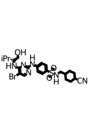 CC(C)[C@H](CO)Nc1nc(Nc2ccc(S(=O)(=O)NCC3CCC(C#N)CC3)cc2)ncc1Br